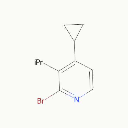 CC(C)c1c(C2CC2)ccnc1Br